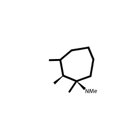 CN[C@]1(C)CCCCC(C)[C@@H]1C